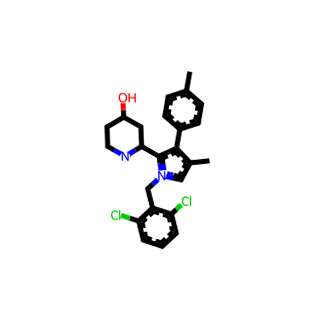 Cc1ccc(-c2c(C)cn(Cc3c(Cl)cccc3Cl)c2C2CC(O)CC[N]2)cc1